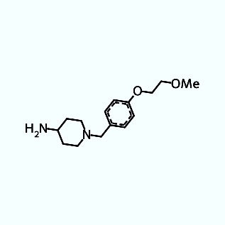 COCCOc1ccc(CN2CCC(N)CC2)cc1